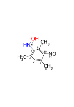 Cc1cc(C)c(NO)c(C)c1N=O